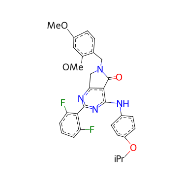 COc1ccc(CN2Cc3nc(-c4c(F)cccc4F)nc(Nc4ccc(OC(C)C)cc4)c3C2=O)c(OC)c1